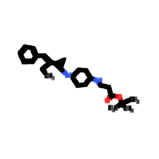 CC/C(=C\c1ccccc1)C1CC1NC1CCC(NCCC(=O)OC(C)(C)C)CC1